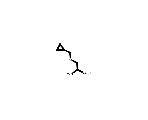 NC(COCC1CC1)C(=O)O